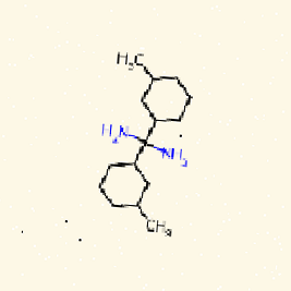 CC1CCCC(C(N)(N)C2CCCC(C)C2)C1